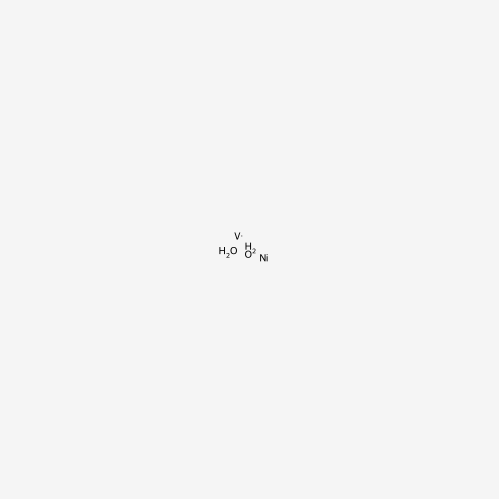 O.O.[Ni].[V]